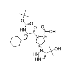 CC(C)(C)OC(=O)N[C@H](CC1CCCCC1)C(=O)N1C[C@@H](N2NNC=C2C(C)(C)O)C[C@H]1C(=O)O